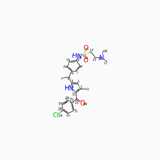 Cc1cc(C(C)c2ccc(NS(=O)(=O)CCN(C)C)cc2)[nH]c1C(=O)c1ccc(Cl)cc1